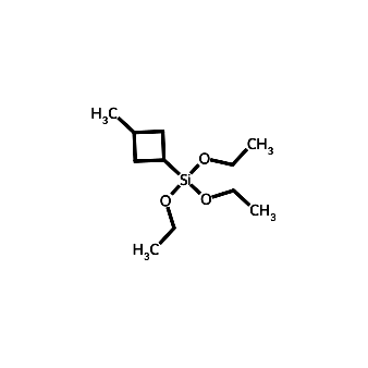 CCO[Si](OCC)(OCC)C1CC(C)C1